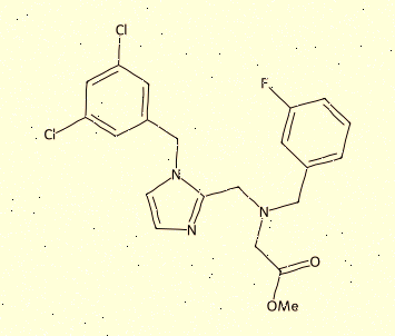 COC(=O)CN(Cc1cccc(F)c1)Cc1nccn1Cc1cc(Cl)cc(Cl)c1